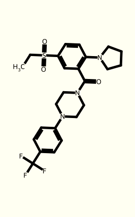 CCS(=O)(=O)c1ccc(N2CCCC2)c(C(=O)N2CCN(c3ccc(C(F)(F)F)cc3)CC2)c1